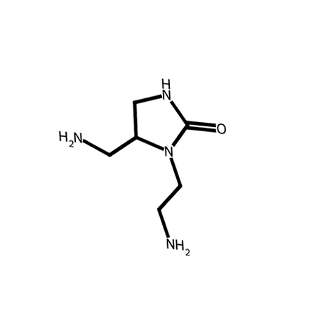 NCCN1C(=O)NCC1CN